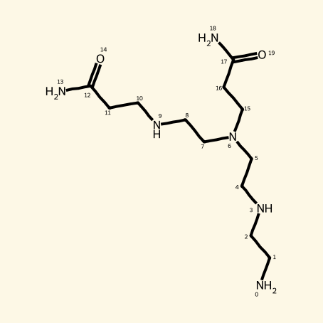 NCCNCCN(CCNCCC(N)=O)CCC(N)=O